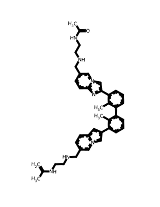 C=C(C)NCCNCc1ccc2cc(-c3cccc(-c4cccc(-c5cn6cc(CNCCNC(C)=O)ccc6n5)c4C)c3C)cn2c1